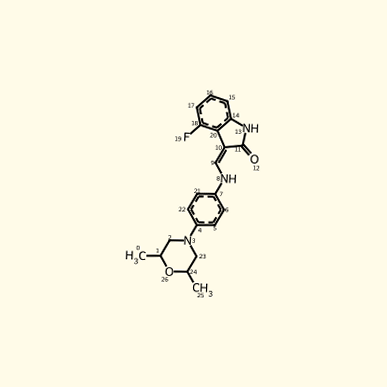 CC1CN(c2ccc(NC=C3C(=O)Nc4cccc(F)c43)cc2)CC(C)O1